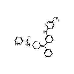 O=C(NC1CCC(=C(c2ccccc2)c2cccc(Nc3ccc(C(F)(F)F)cn3)c2)CC1)c1cccnc1